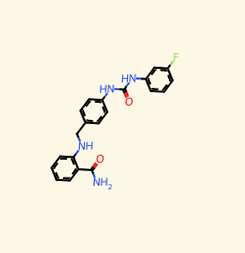 NC(=O)c1ccccc1NCc1ccc(NC(=O)Nc2cccc(F)c2)cc1